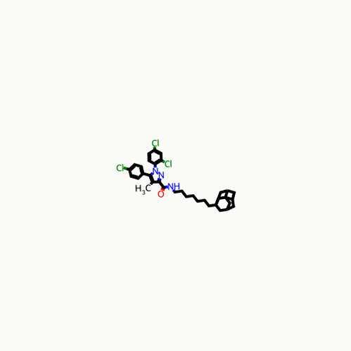 Cc1c(C(=O)NCCCCCCCC23CC4CC5CC(C2)C5(C4)C3)nn(-c2ccc(Cl)cc2Cl)c1-c1ccc(Cl)cc1